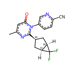 Cc1cc(=O)n(-c2ccc(C#N)nc2)c([C@H]2C[C@@H]3[C@H](C2)C3(F)F)n1